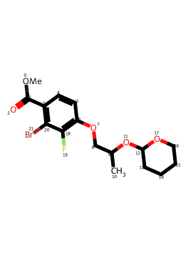 COC(=O)c1ccc(OCC(C)OC2CCCCO2)c(F)c1Br